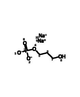 O=P([O-])([O-])OCCCO.[Na+].[Na+]